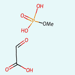 COP(=O)(O)O.O=CC(=O)O